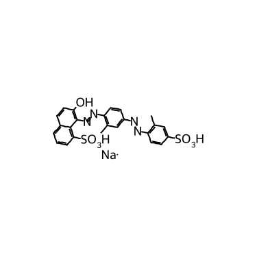 Cc1cc(S(=O)(=O)O)ccc1N=Nc1ccc(N=Nc2c(O)ccc3cccc(S(=O)(=O)O)c23)c(C)c1.[Na]